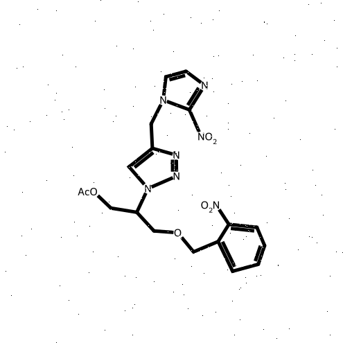 CC(=O)OCC(COCc1ccccc1[N+](=O)[O-])n1cc(Cn2ccnc2[N+](=O)[O-])nn1